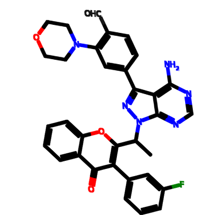 CC(c1oc2ccccc2c(=O)c1-c1cccc(F)c1)n1nc(-c2ccc(C=O)c(N3CCOCC3)c2)c2c(N)ncnc21